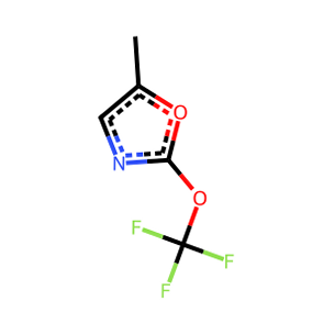 Cc1cnc(OC(F)(F)F)o1